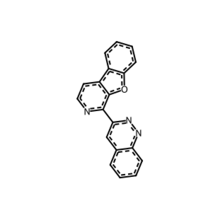 c1ccc2nnc(-c3nccc4c3oc3ccccc34)cc2c1